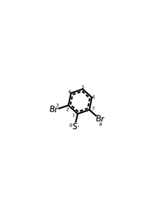 [S]c1c(Br)cccc1Br